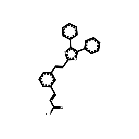 O=C(O)C=Cc1cccc(C=Cc2nc(-c3ccccc3)c(-c3ccccc3)o2)c1